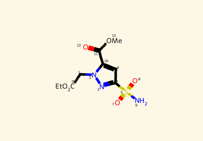 CCOC(=O)Cn1nc(S(N)(=O)=O)cc1C(=O)OC